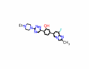 CCN1CCN(c2ncc(-c3ccc(-c4cc(F)c5nc(C)cn5c4)cc3O)nn2)CC1